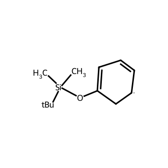 CC(C)(C)[Si](C)(C)OC1=CC=C[CH]C1